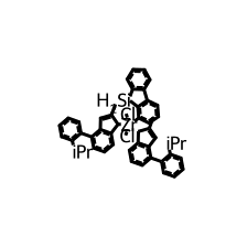 CC1=Cc2c(-c3ccccc3C(C)C)cccc2[CH]1[Zr]([Cl])([Cl])([c]1cccc2c1[SiH2]c1ccccc1-2)[CH]1C(C)=Cc2c(-c3ccccc3C(C)C)cccc21